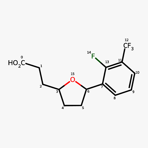 O=C(O)CCC1CCC(c2cccc(C(F)(F)F)c2F)O1